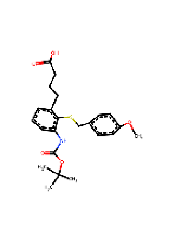 COc1ccc(CSc2c(CCCC(=O)O)cccc2NC(=O)OC(C)(C)C)cc1